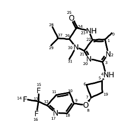 Cc1nc(N[C@H]2C[C@H](Oc3ccc(C(F)(F)F)nc3)C2)nc2c1NC(=O)C(C(C)C)N2C